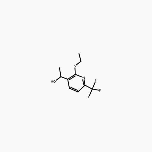 CCSc1nc(C(F)(F)F)ccc1C(C)O